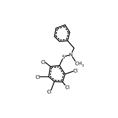 CN(Cc1ccccc1)Sc1c(Cl)c(Cl)c(Cl)c(Cl)c1Cl